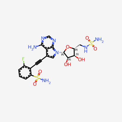 Nc1ncnc2c1c(C#Cc1c(F)cccc1S(N)(=O)=O)cn2[C@@H]1O[C@H](CNS(N)(=O)=O)[C@@H](O)[C@H]1O